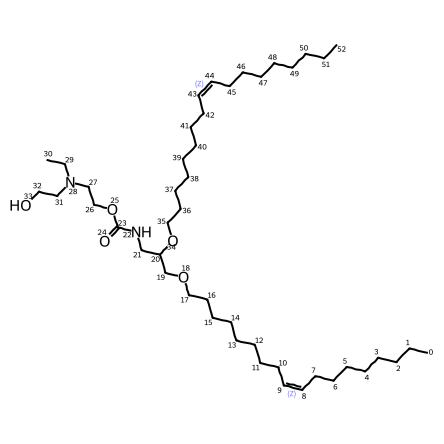 CCCCCCCC/C=C\CCCCCCCCOCC(CNC(=O)OCCN(CC)CCO)OCCCCCCCC/C=C\CCCCCCCC